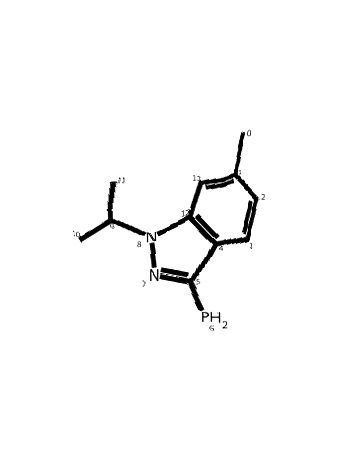 Cc1ccc2c(P)nn(C(C)C)c2c1